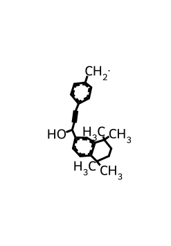 [CH2]c1ccc(C#CC(O)c2ccc3c(c2)C(C)(C)CCC3(C)C)cc1